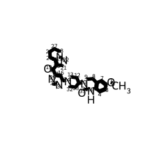 COc1ccc2c(c1)CCN(C1CCN(c3cc(C(=O)c4cnn5c4CCCC5)ncn3)CC1)C(=O)N2